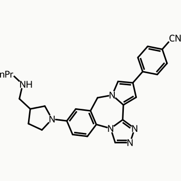 CCCNCC1CCN(c2ccc3c(c2)Cn2cc(-c4ccc(C#N)cc4)cc2-c2nncn2-3)C1